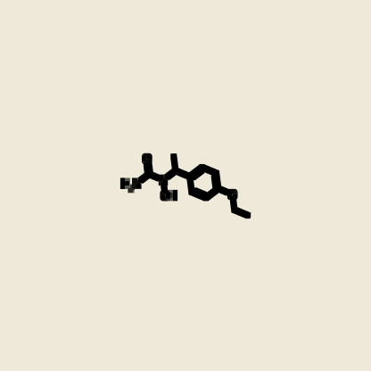 CCOc1ccc(C(C)N(O)C(N)=O)cc1